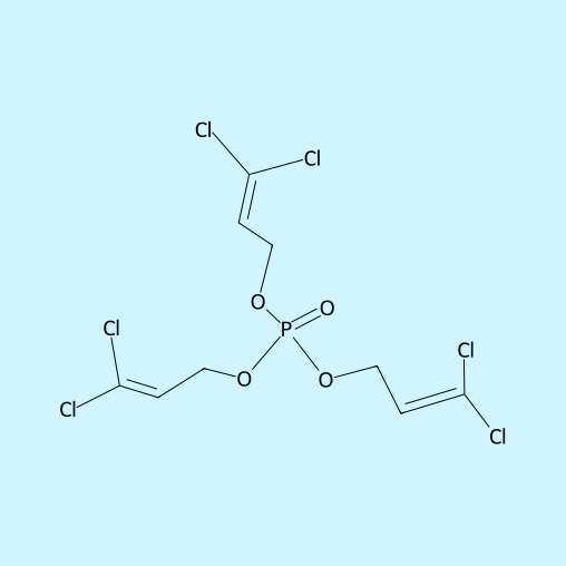 O=P(OCC=C(Cl)Cl)(OCC=C(Cl)Cl)OCC=C(Cl)Cl